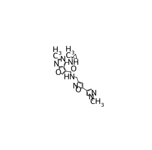 Cc1nc(NC2(C)CC2)c2c(C(=O)NCc3cc(-c4cnn(C)c4)on3)coc2n1